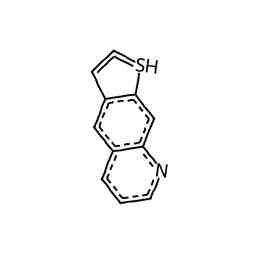 C1=Cc2cc3cccnc3cc2[SH]=1